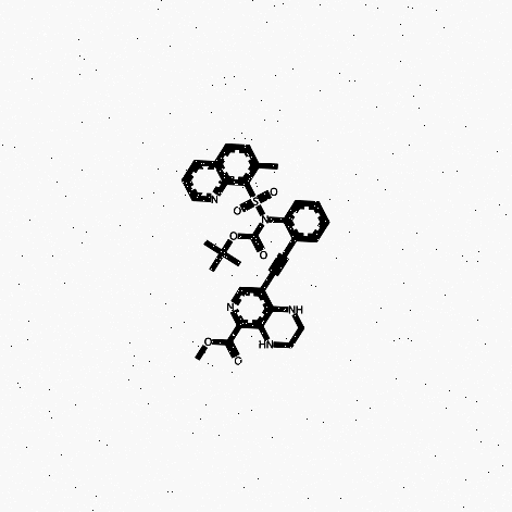 COC(=O)c1ncc(C#Cc2ccccc2N(C(=O)OC(C)(C)C)S(=O)(=O)c2c(C)ccc3cccnc23)c2c1NCCN2